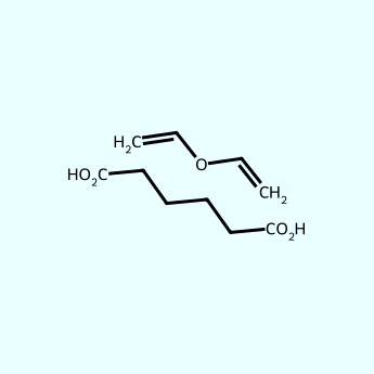 C=COC=C.O=C(O)CCCCC(=O)O